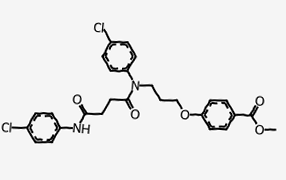 COC(=O)c1ccc(OCCCN(C(=O)CCC(=O)Nc2ccc(Cl)cc2)c2ccc(Cl)cc2)cc1